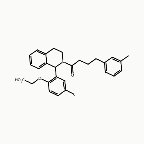 Cc1cccc(CCCC(=O)N2CCc3ccccc3C2c2cc(Cl)ccc2OCC(=O)O)c1